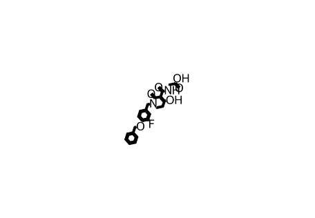 O=C(O)CNC(=O)C1=C(O)CCN(Cc2ccc(OCc3ccccc3)c(F)c2)C1=O